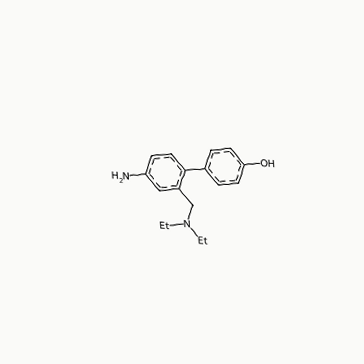 CCN(CC)Cc1cc(N)ccc1-c1ccc(O)cc1